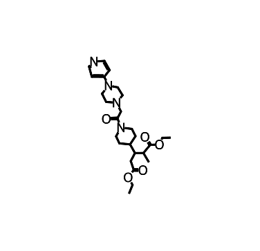 CCOC(=O)CC(C1CCN(C(=O)CN2CCN(c3ccncc3)CC2)CC1)C(C)C(=O)OCC